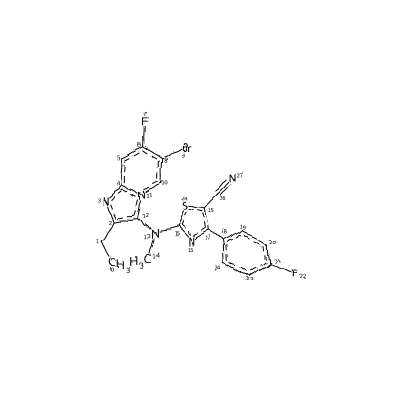 CCc1nc2cc(F)c(Br)cn2c1N(C)c1nc(-c2ccc(F)cc2)c(C#N)s1